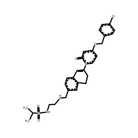 CC(C)S(=O)(=O)NCCNCc1ccc2c(c1)CCC(n1ccc(OCc3ccc(Cl)cc3)cc1=O)=C2